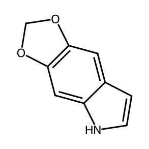 c1cc2cc3c(cc2[nH]1)OCO3